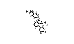 Nc1ccc(Oc2cccc(-c3ccccc3)c2N)cc1